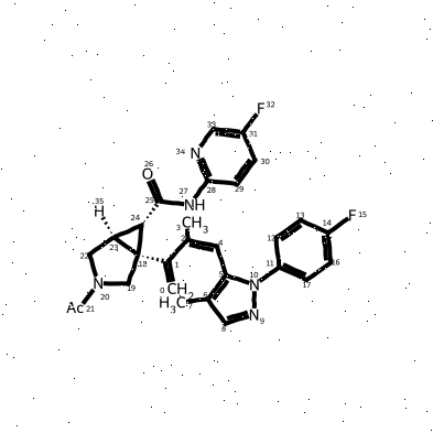 C=C(/C(C)=C\c1c(C)cnn1-c1ccc(F)cc1)[C@]12CN(C(C)=O)C[C@H]1[C@@H]2C(=O)Nc1ccc(F)cn1